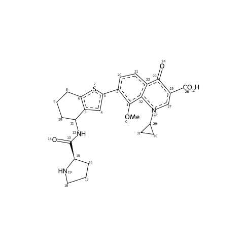 COc1c(-c2cc3c(s2)CCCC3NC(=O)[C@H]2CCCN2)ccc2c(=O)c(C(=O)O)cn(C3CC3)c12